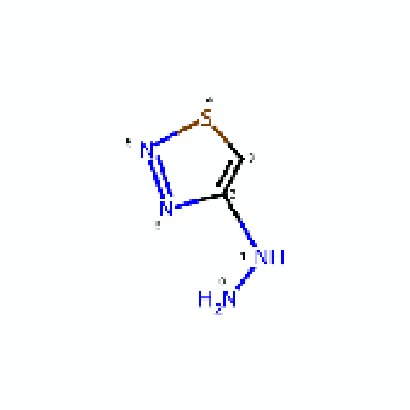 NNc1csnn1